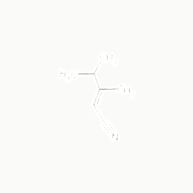 C/C(=C\C#N)C(C)C